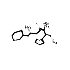 CCC[C@@H](C(C[C@H](C)CC)C1CCCC1)[C@@H](C)C[C@@H](O)CC1CCCCC1